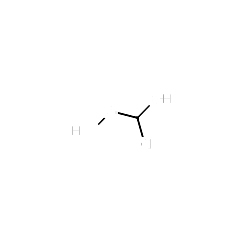 COC(O)Cl